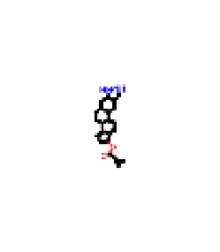 O=C(OC1=CC=C2C1=CC=C1C2CCC2CC3NNCC3CC12)C1CC1